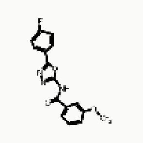 O=C(Nc1nnc(-c2ccc(F)cc2)o1)c1cccc(OC(F)(F)F)c1